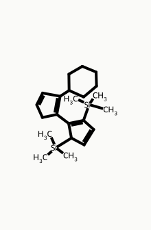 C[Si](C)(C)[C]1C=CC([Si](C)(C)C)=C1C1=C(C2CCCCC2)C=CC1